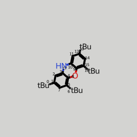 CC(C)(C)c1cc2c(c(C(C)(C)C)c1)Oc1c(cc(C(C)(C)C)cc1C(C)(C)C)N2